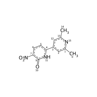 Cc1cc(-c2ccc([N+](=O)[O-])c(=O)[nH]2)cc(C)n1